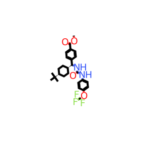 COC(=O)c1ccc(C(NC(=O)Nc2ccc(OC(F)(F)F)cc2)[C@H]2CC[C@@H](C(C)(C)C)CC2)cc1